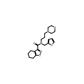 O=C(c1noc2c1CCCC2)N(CCCN1CCOCC1)Cc1ccco1